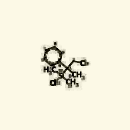 CC(CCl)(c1ccccc1)[Si](C)(C)Cl